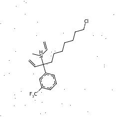 C=C[SiH](C)C(C=C)(CCCCCCCCl)c1cccc(C(F)(F)F)c1